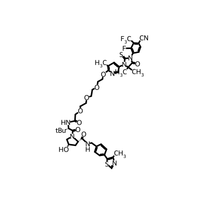 Cc1cc(N2C(=S)N(c3ccc(C#N)c(C(F)(F)F)c3F)C(=O)C2(C)C)cnc1OCCOCCOCCOCC(=O)N[C@H](C(=O)N1C[C@H](O)C[C@H]1C(=O)NCc1ccc(-c2scnc2C)cc1)C(C)(C)C